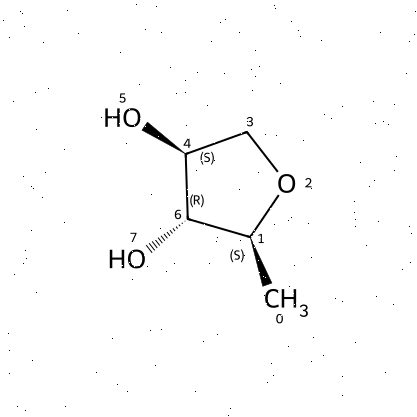 C[C@@H]1OC[C@H](O)[C@H]1O